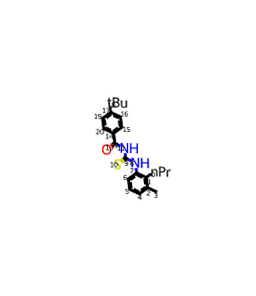 CCCc1c(C)cccc1NC(=S)NC(=O)c1ccc(C(C)(C)C)cc1